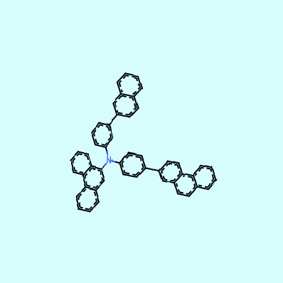 c1cc(-c2ccc3ccccc3c2)cc(N(c2ccc(-c3ccc4c(ccc5ccccc54)c3)cc2)c2cc3ccccc3c3ccccc23)c1